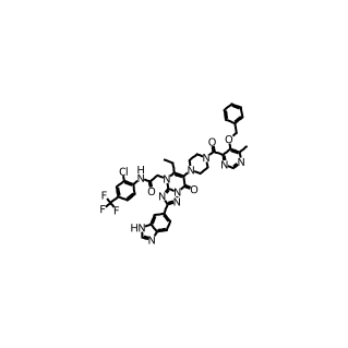 CCc1c(N2CCN(C(=O)c3ncnc(C)c3OCc3ccccc3)CC2)c(=O)n2nc(-c3ccc4nc[nH]c4c3)nc2n1CC(=O)Nc1ccc(C(F)(F)F)cc1Cl